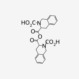 O=C(OC(=O)C1Cc2ccccc2CN1C(=O)O)C1Cc2ccccc2CN1C(=O)O